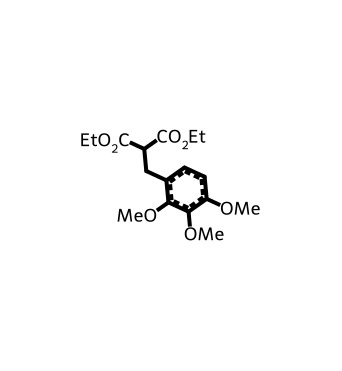 CCOC(=O)C(Cc1ccc(OC)c(OC)c1OC)C(=O)OCC